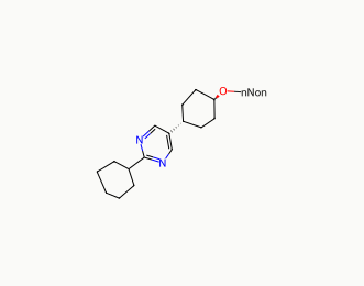 CCCCCCCCCO[C@H]1CC[C@H](c2cnc(C3CCCCC3)nc2)CC1